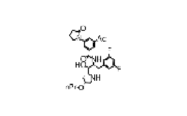 CCCO[C@H]1CN[C@@H]([C@@H](O)[C@H](Cc2cc(F)cc(F)c2)NC(=O)c2cc(C(C)=O)cc(N3CCCC3=O)c2)C1